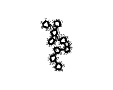 C1=Cc2c(n(-c3ccccc3)c3cc4c5ccccc5n(-c5ccc6sc7cccc(-c8cccc(-c9cccc(-c%10ccccc%10)c9)c8)c7c6c5)c4cc23)CC1